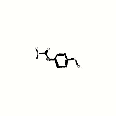 CCN(C)C(=O)Nc1ccc(OC(F)(F)F)cc1